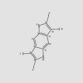 Ic1sc2cc3c(I)c(I)sc3cc2c1I